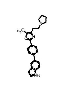 Cc1oc(-c2ccc(-c3ccc4[nH]ccc4c3)cc2)nc1CCN1CCCC1